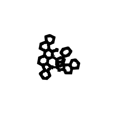 O=c1c2c3ccccc3ccc2c2ccc3c4ccccc4n(-c4nc(-c5ccccc5)c5c(ccc6ccccc65)n4)c3c2n1-c1ccccc1